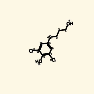 OCCCSc1cc(Cl)c(O)c(Cl)c1